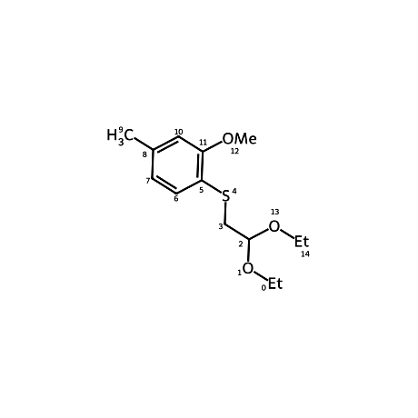 CCOC(CSc1ccc(C)cc1OC)OCC